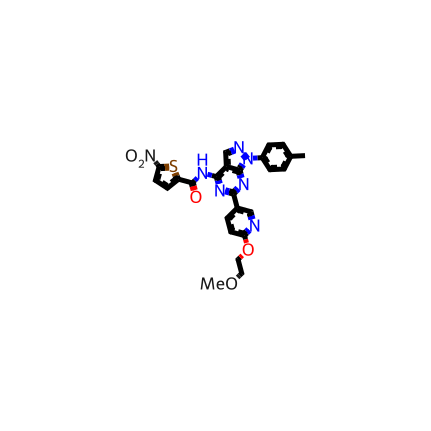 COCCOc1ccc(-c2nc(NC(=O)c3ccc([N+](=O)[O-])s3)c3cnn(-c4ccc(C)cc4)c3n2)cn1